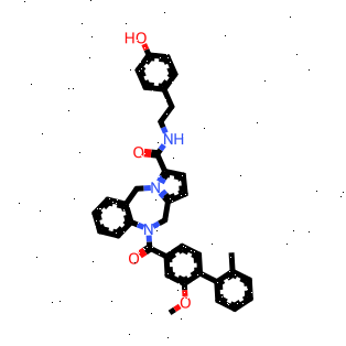 COc1cc(C(=O)N2Cc3ccc(C(=O)NCCc4ccc(O)cc4)n3Cc3ccccc32)ccc1-c1ccccc1C